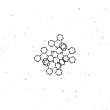 c1ccc(-c2cc(-c3ccccc3)nc(-c3c(N4c5ccccc5-c5ccccc5-c5ccccc54)c(N4c5ccccc5-c5ccccc5-c5ccccc54)nc(N4c5ccccc5-c5ccccc5-c5ccccc54)c3N3c4ccccc4-c4ccccc4-c4ccccc43)n2)cc1